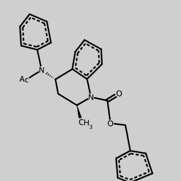 CC(=O)N(c1ccccc1)[C@H]1C[C@H](C)N(C(=O)OCc2ccccc2)c2ccccc21